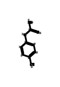 N#Cc1ccc(OC([NH])=O)cc1